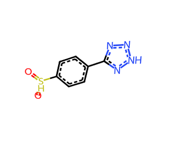 O=[SH](=O)c1ccc(-c2nn[nH]n2)cc1